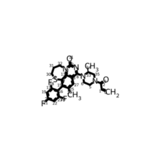 C=CC(=O)N1CCN(c2nc(=O)n3c4c(c(-c5c(F)cc(F)cc5F)c(C)cc24)SCCC3)[C@@H](C)C1